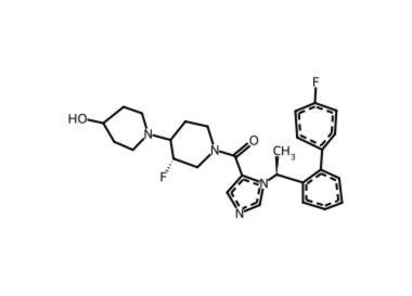 C[C@@H](c1ccccc1-c1ccc(F)cc1)n1cncc1C(=O)N1CCC(N2CCC(O)CC2)[C@@H](F)C1